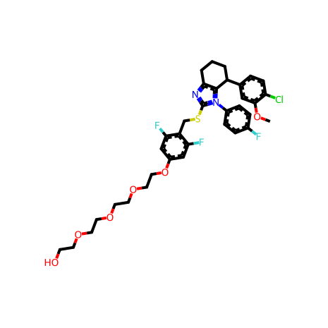 COc1cc(C2CCCc3nc(SCc4c(F)cc(OCCOCCOCCOCCO)cc4F)n(-c4ccc(F)cc4)c32)ccc1Cl